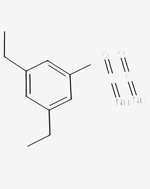 CCc1cc(C)cc(CC)c1.N=C=O.N=C=O